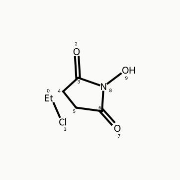 CCCl.O=C1CCC(=O)N1O